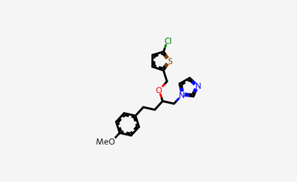 COc1ccc(CCC(Cn2ccnc2)OCc2ccc(Cl)s2)cc1